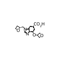 O=C(O)c1cc(OC2COC2)c2ncn(C[C@@H]3CCO3)c2c1